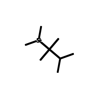 CC(C)C(C)(C)[Si](C)C